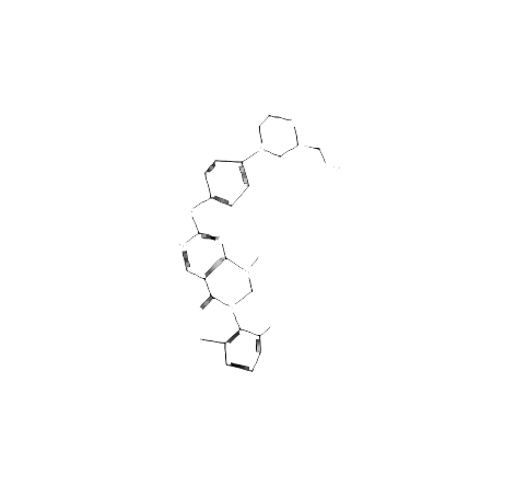 COC[C@H]1CN(c2ccc(Nc3ncc4c(n3)N(C)CN(c3c(Cl)cccc3Cl)C4=O)cc2)CCN1